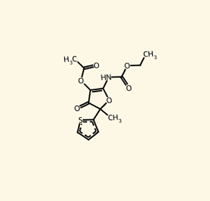 CCOC(=O)NC1=C(OC(C)=O)C(=O)C(C)(c2cccs2)O1